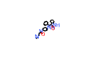 CN(C)CCC(=O)N(C)c1ccc(N/C(=C2\C(=O)Nc3ccccc32)c2ccccc2)cc1